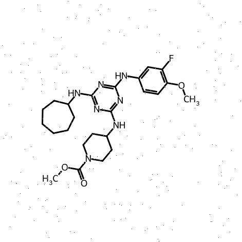 COC(=O)N1CCC(Nc2nc(Nc3ccc(OC)c(F)c3)nc(NC3CCCCCC3)n2)CC1